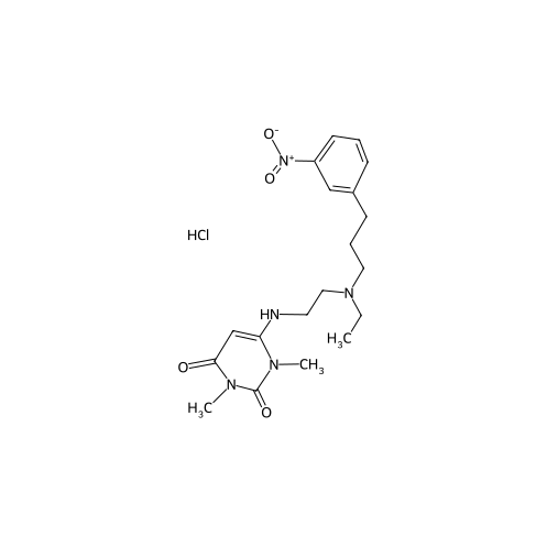 CCN(CCCc1cccc([N+](=O)[O-])c1)CCNc1cc(=O)n(C)c(=O)n1C.Cl